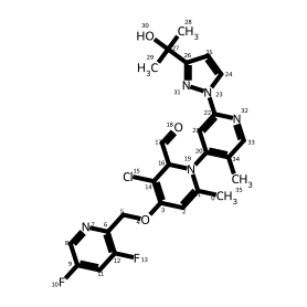 CC1=CC(OCc2ncc(F)cc2F)=C(Cl)C(C=O)N1c1cc(-n2ccc(C(C)(C)O)n2)ncc1C